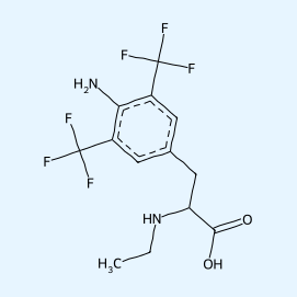 CCNC(Cc1cc(C(F)(F)F)c(N)c(C(F)(F)F)c1)C(=O)O